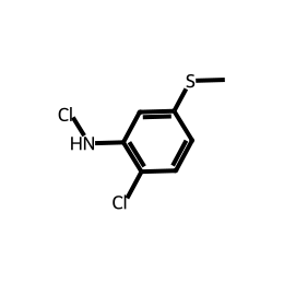 CSc1ccc(Cl)c(NCl)c1